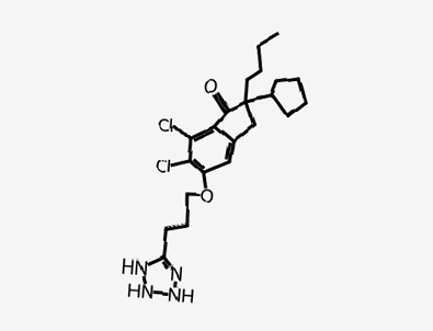 CCCCC1(C2CCCC2)Cc2cc(OCCCC3=NNNN3)c(Cl)c(Cl)c2C1=O